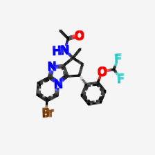 CC(=O)NC1(C)C[C@H](c2ccccc2OC(F)F)c2c1nc1ccc(Br)cn21